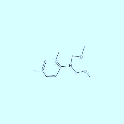 COCN(COC)c1ccc(C)cc1C